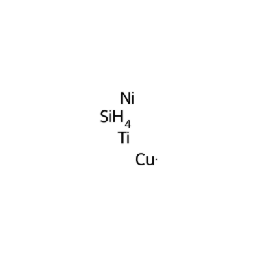 [Cu].[Ni].[SiH4].[Ti]